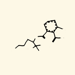 CCCCC(OC(=O)c1cccc(Br)c1C(=O)O)C(C)(C)C